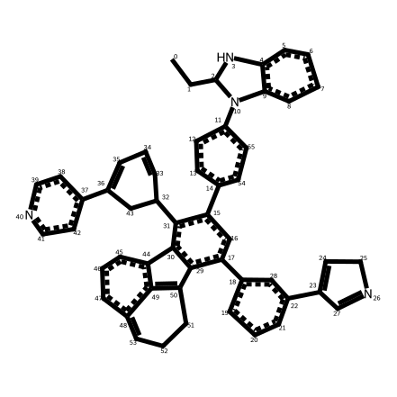 CCC1Nc2ccccc2N1c1ccc(-c2cc(-c3cccc(C4=CCN=C4)c3)c3c(c2C2C=CC=C(c4ccncc4)C2)-c2cccc4c2=C3CCC=4)cc1